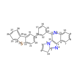 C1=Cn2c(nc3c4ccccc4nc(-c4cccc(-c5ccc6sc7ccccc7c6c5)c4)c32)C1